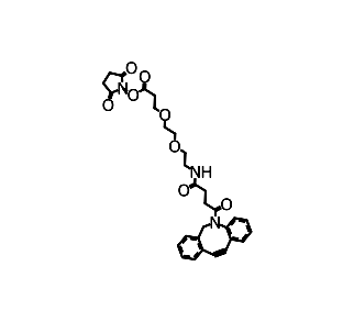 O=C(CCC(=O)N1Cc2ccccc2C#Cc2ccccc21)NCCOCCOCCC(=O)ON1C(=O)CCC1=O